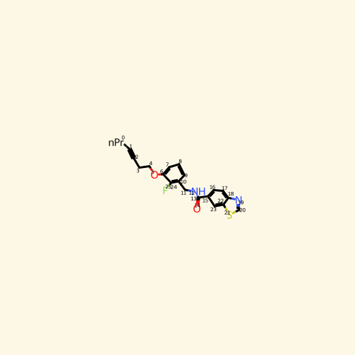 CCCC#CCCOc1cccc(CNC(=O)c2ccc3ncsc3c2)c1F